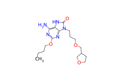 CCCCOc1nc(N)c2[nH]c(=O)n(CCCOCC3CCOC3)c2n1